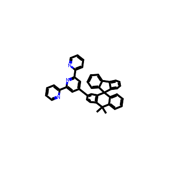 CC1(C)c2ccccc2C2(c3ccccc3-c3ccccc32)c2cc(-c3cc(-c4ccccn4)nc(-c4ccccn4)c3)ccc21